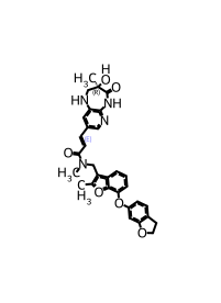 Cc1oc2c(Oc3ccc4c(c3)OCC4)cccc2c1CN(C)C(=O)/C=C/c1cnc2c(c1)NC[C@@](C)(O)C(=O)N2